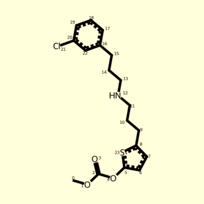 COC(=O)Oc1ccc(CCCNCCCc2cccc(Cl)c2)s1